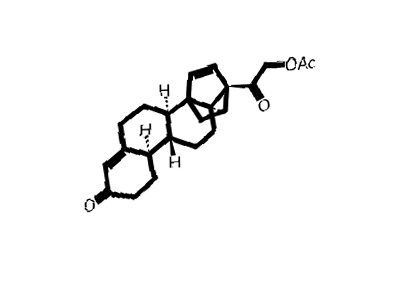 CC(=O)OCC(=O)[C@@]12C=CC3(CC1)[C@@H]1CCC4=CC(=O)CC[C@@H]4[C@H]1CC[C@@]32C